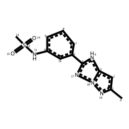 Cc1cc2[nH]c(-c3cccc(NS(C)(=O)=O)c3)nn2n1